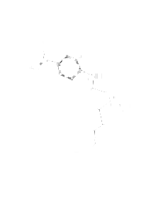 CCCCC[C@@H](C)SCNc1ccc([N+](=O)[O-])cc1